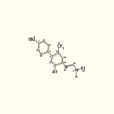 CCc1cc(-c2ccc(C(C)(C)C)cc2)c(C(F)(F)F)cc1/N=C/N(C)CC